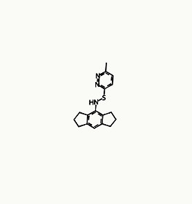 Cc1ccc(SNc2c3c(cc4c2CCC4)CCC3)nn1